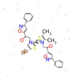 Cc1s[c+](-[c+]2sccn2CC(=O)c2cc(-c3ccccc3)no2)n(CC(=O)c2cc(-c3ccccc3)no2)c1C.[Br-].[Br-]